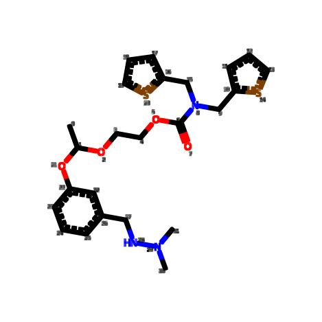 CC(OCCOC(=O)N(Cc1cccs1)Cc1cccs1)Oc1cccc(CNN(C)C)c1